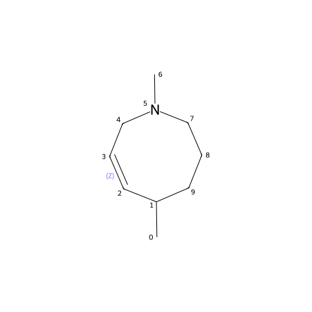 CC1/C=C\CN(C)CCC1